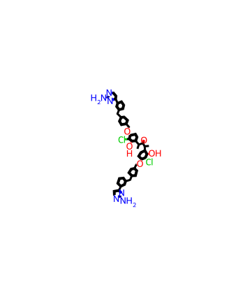 CC(C(=O)C(C)c1ccc(OCc2ccc(Cc3cccc(-c4ccnc(N)n4)c3)cc2)c(Cl)c1O)c1ccc(OCc2ccc(Cc3cccc(-c4ccnc(N)n4)c3)cc2)c(Cl)c1O